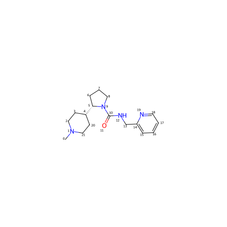 CN1CCC([C@@H]2CCCN2C(=O)NCc2ccccn2)CC1